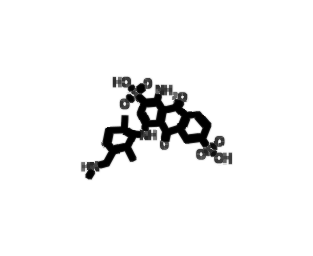 CNCc1ccc(C)c(Nc2cc(S(=O)(=O)O)c(N)c3c2C(=O)c2cc(S(=O)(=O)O)ccc2C3=O)c1C